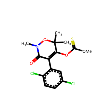 COC(=S)OC1=C(c2cc(Cl)ccc2Cl)C(=O)N(C)OC1(C)C